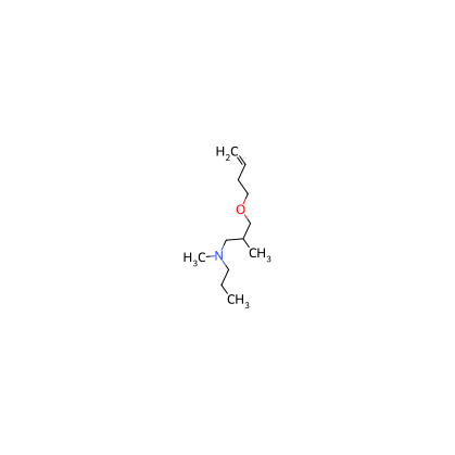 C=CCCOCC(C)CN(C)CCC